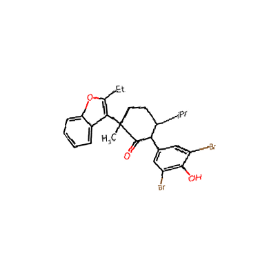 CCc1oc2ccccc2c1C1(C)CCC(C(C)C)C(c2cc(Br)c(O)c(Br)c2)C1=O